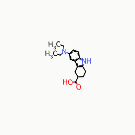 CCN(CC)c1ccc2[nH]c3c(c2c1)CC(C(=O)O)CC3